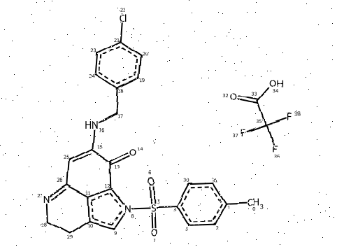 Cc1ccc(S(=O)(=O)n2cc3c4c2C(=O)C(NCc2ccc(Cl)cc2)=CC4=NCC3)cc1.O=C(O)C(F)(F)F